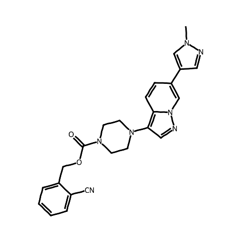 Cn1cc(-c2ccc3c(N4CCN(C(=O)OCc5ccccc5C#N)CC4)cnn3c2)cn1